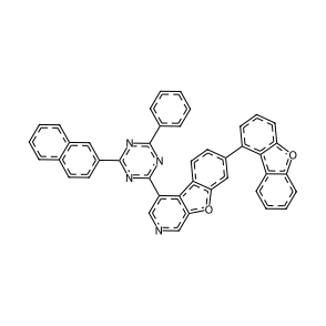 c1ccc(-c2nc(-c3ccc4ccccc4c3)nc(-c3cncc4oc5cc(-c6cccc7oc8ccccc8c67)ccc5c34)n2)cc1